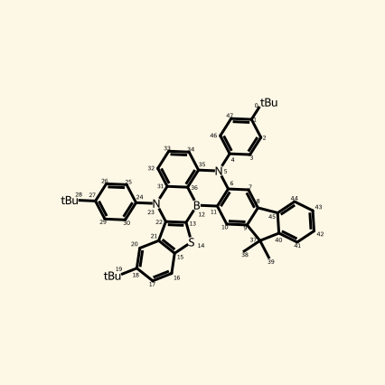 CC(C)(C)c1ccc(N2c3cc4c(cc3B3c5sc6ccc(C(C)(C)C)cc6c5N(c5ccc(C(C)(C)C)cc5)c5cccc2c53)C(C)(C)c2ccccc2-4)cc1